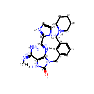 C/N=C(/N)c1[nH]c(=O)n(Cc2cccc(CN3CCCCC3)c2)c1/N=C/c1ncc[nH]1